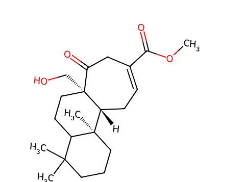 COC(=O)C1=CC[C@H]2[C@@](CO)(CCC3C(C)(C)CCC[C@@]32C)C(=O)C1